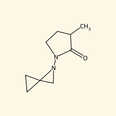 CC1CCN(N2CC23CC3)C1=O